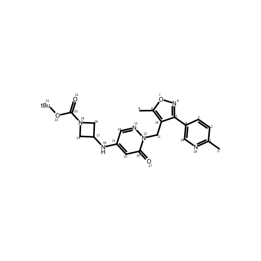 Cc1ccc(-c2noc(C)c2Cn2ncc(NC3CN(C(=O)OC(C)(C)C)C3)cc2=O)cn1